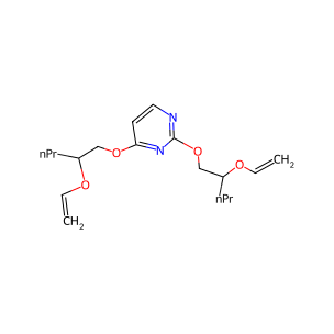 C=COC(CCC)COc1ccnc(OCC(CCC)OC=C)n1